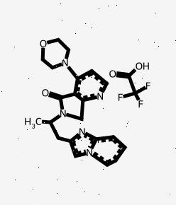 CC(Cc1cn2ccccc2n1)N1Cc2nccc(N3CCOCC3)c2C1=O.O=C(O)C(F)(F)F